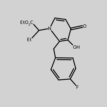 CCOC(=O)C(CC)n1ccc(=O)c(O)c1Cc1ccc(F)cc1